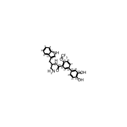 NCC(Cc1c[nH]c2ccccc12)NC(=O)c1cc(-c2ccc(O)c(O)c2)ccc1OC(F)(F)F